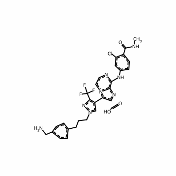 CNC(=O)c1ccc(Nc2nccn3c(-c4cn(CCCc5ccc(CN)cc5)nc4C(F)(F)F)cnc23)cc1Cl.O=CO